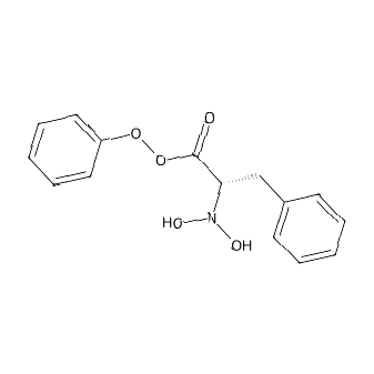 O=C(OOc1ccccc1)[C@H](Cc1ccccc1)N(O)O